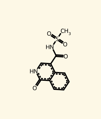 CS(=O)(=O)NC(=O)c1c[nH]c(=O)c2ccccc12